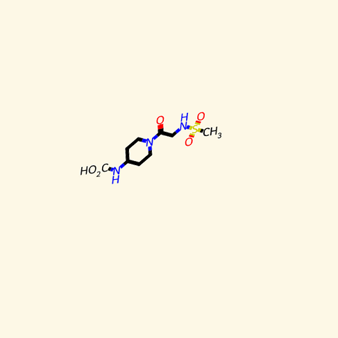 CS(=O)(=O)NCC(=O)N1CCC(NC(=O)O)CC1